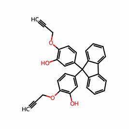 C#CCOc1ccc(C2(c3ccc(OCC#C)c(O)c3)c3ccccc3-c3ccccc32)cc1O